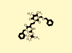 Cc1c(C)n(COCc2ccccc2)c(=O)n(CCC(NC(=O)OC(C)(C)C)C(=O)OCc2ccccc2)c1=O